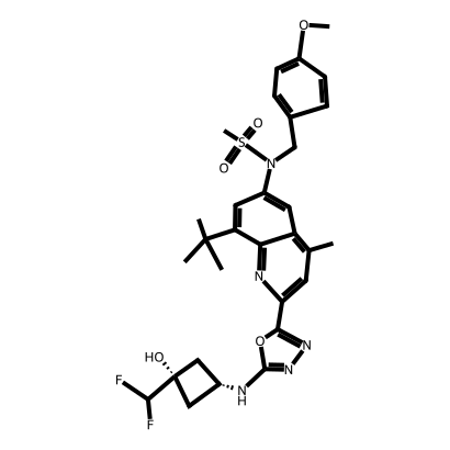 COc1ccc(CN(c2cc(C(C)(C)C)c3nc(-c4nnc(N[C@H]5C[C@](O)(C(F)F)C5)o4)cc(C)c3c2)S(C)(=O)=O)cc1